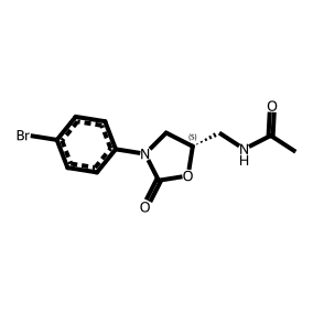 CC(=O)NC[C@H]1CN(c2ccc(Br)cc2)C(=O)O1